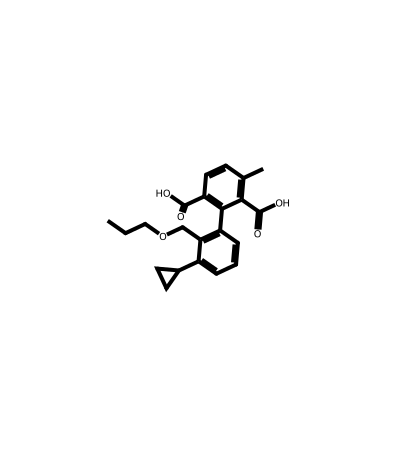 CCCOCc1c(-c2c(C(=O)O)ccc(C)c2C(=O)O)cccc1C1CC1